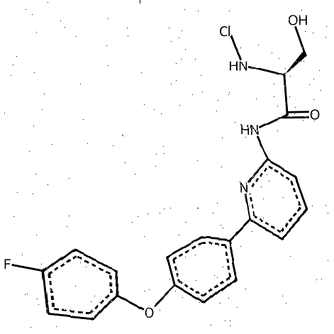 O=C(Nc1cccc(-c2ccc(Oc3ccc(F)cc3)cc2)n1)[C@H](CO)NCl